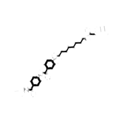 C=CC(=O)OCCCCCCCCOc1ccc(C(=O)Oc2ccc(C(N)=O)cc2)cc1